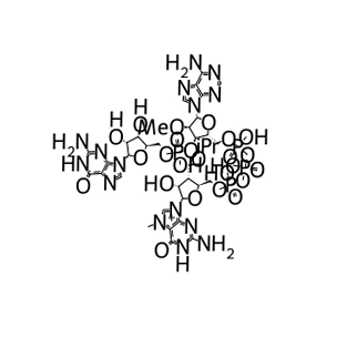 CO[C@@H]1[C@H](OP(=O)(O)OC[C@H]2O[C@@H](n3cnc4c(=O)[nH]c(N)nc43)[C@H](O)[C@@H]2O)[C@@H](COP(=O)(O)OP(=O)(O)OP(=O)(O)OC[C@H]2O[C@@H](n3c[n+](C)c4c(=O)[nH]c(N)nc43)[C@H](O)[C@@H]2COC(C)C)O[C@H]1n1cnc2c(N)ncnc21